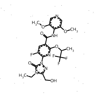 CCn1c(CO)nn(-c2nc(OC(C)C(F)(F)F)c(C(=O)Nc3c(OC)cncc3OC)cc2F)c1=O